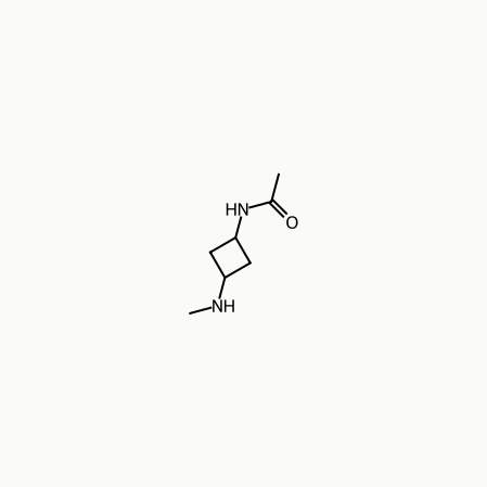 CNC1CC(NC(C)=O)C1